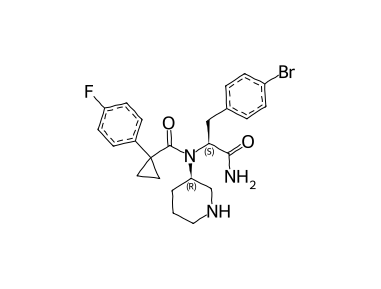 NC(=O)[C@H](Cc1ccc(Br)cc1)N(C(=O)C1(c2ccc(F)cc2)CC1)[C@@H]1CCCNC1